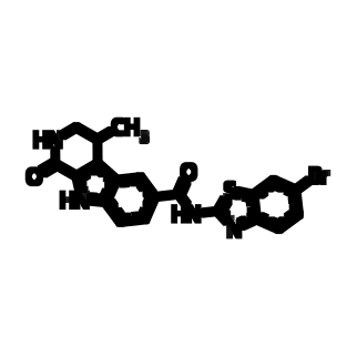 CC1CNC(=O)c2[nH]c3ccc(C(=O)Nc4nc5ccc(Br)cc5s4)cc3c21